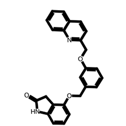 O=C1Cc2c(cccc2OCc2cccc(OCc3ccc4ccccc4n3)c2)N1